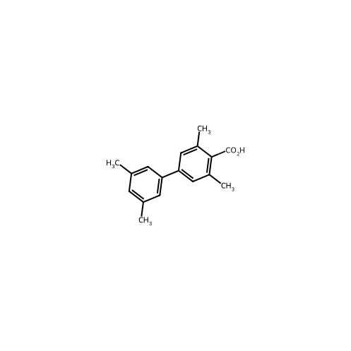 Cc1cc(C)cc(-c2cc(C)c(C(=O)O)c(C)c2)c1